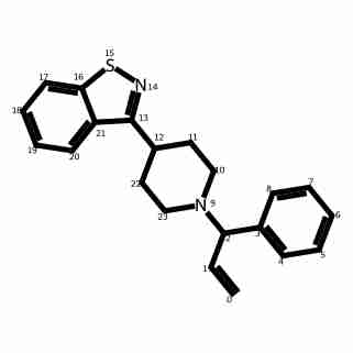 C=CC(c1ccccc1)N1CCC(c2nsc3ccccc23)CC1